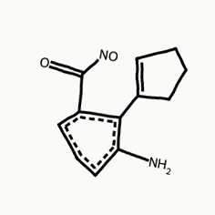 Nc1cccc(C(=O)N=O)c1C1=CCCC1